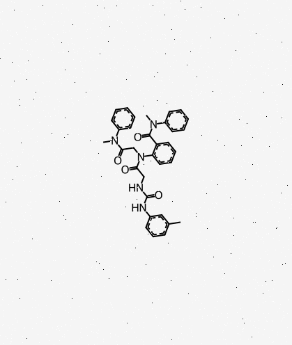 Cc1cccc(NC(=O)NCC(=O)N(CC(=O)N(C)c2ccccc2)c2ccccc2C(=O)N(C)c2ccccc2)c1